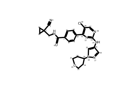 N#CC1(CNC(=O)c2ccc(-c3nc(Nc4cnn(C5CCOCC5)c4)ncc3Cl)cc2)CC1